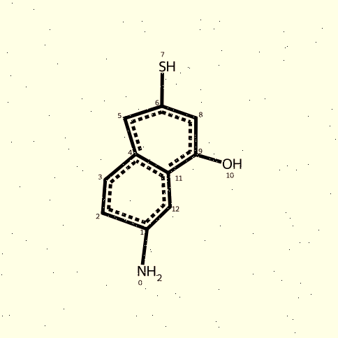 Nc1ccc2cc(S)cc(O)c2c1